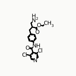 CCOC(=O)C(CN)Cc1ccc(NC(=O)c2c(Cl)cncc2Cl)cc1